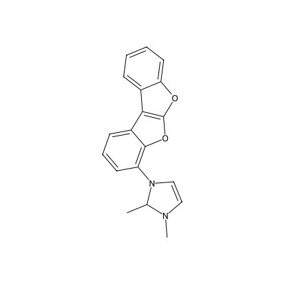 CC1N(C)C=CN1c1cccc2c1oc1oc3ccccc3c12